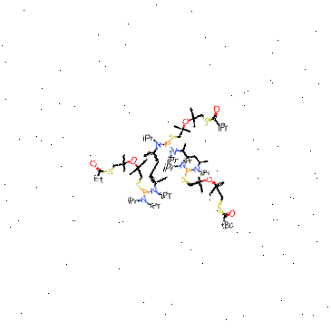 CCC(=O)SCC(C)(C)OC(C)(C)CSP(N(C(C)C)C(C)C)N(C(C)C)C(C)CCC(C)N(C(C)C)P(SCC(C)(C)OC(C)(C)CSC(=O)C(C)C)N(C(C)C)C(C)CCC(C)N(C(C)C)P(SCC(C)(C)OC(C)(C)CSC(=O)C(C)(C)C)N(C(C)C)C(C)C